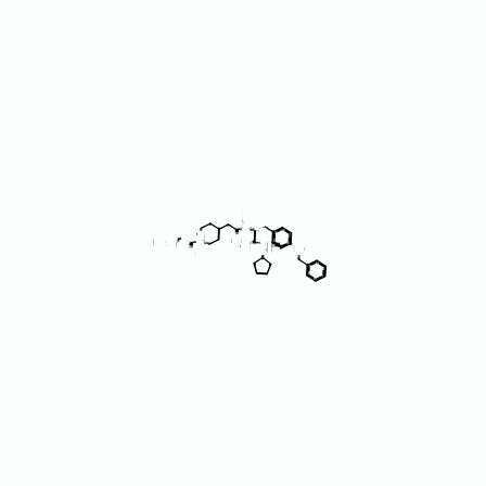 CC(C)(C)OC(=O)N1CCC(CC(=O)N[C@@H](Cc2ccc(OCc3ccccc3)cc2)C(=O)NC2CCCC2)CC1